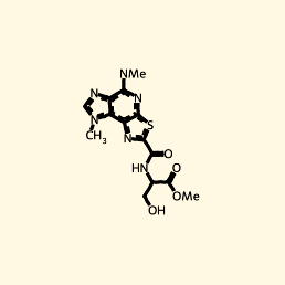 CNc1nc2sc(C(=O)NC(CO)C(=O)OC)nc2c2c1ncn2C